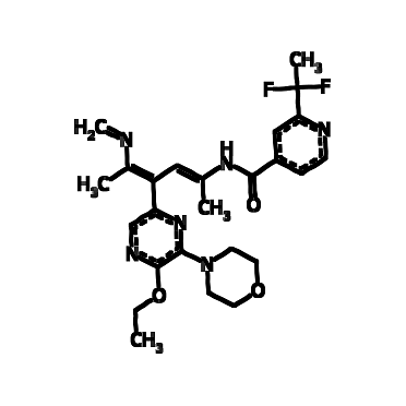 C=N/C(C)=C(\C=C(/C)NC(=O)c1ccnc(C(C)(F)F)c1)c1cnc(OCC)c(N2CCOCC2)n1